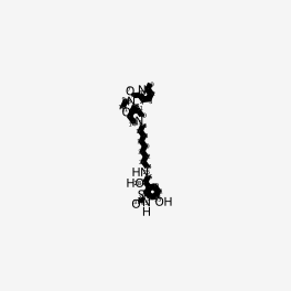 Cc1cccc(C(=O)N2CCOC3(CCN(CCCCCCCCCNCC(O)c4ccc(O)c5[nH]c(=O)sc45)CC3)C2)n1